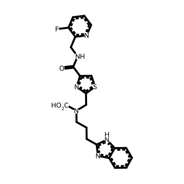 O=C(NCc1ncccc1F)c1csc(CN(CCCc2nc3ccccc3[nH]2)C(=O)O)n1